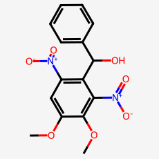 COc1cc([N+](=O)[O-])c(C(O)c2ccccc2)c([N+](=O)[O-])c1OC